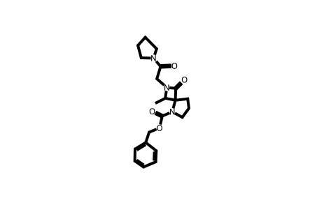 CC1N(CC(=O)N2CCCC2)C(=O)C12CCCN2C(=O)OCc1ccccc1